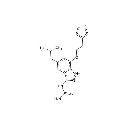 CC(C)Cc1cc(OCCc2ccsc2)c2[nH]nc(NC(N)=S)c2c1